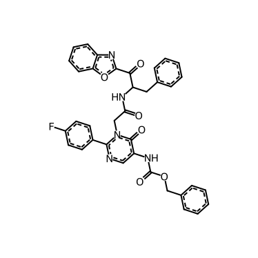 O=C(Cn1c(-c2ccc(F)cc2)ncc(NC(=O)OCc2ccccc2)c1=O)NC(Cc1ccccc1)C(=O)c1nc2ccccc2o1